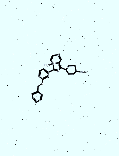 COC1CCC(C2=C3C=NC=C[N+]3(N)C(c3cccc(OCc4ccccc4)c3)=N2)CC1